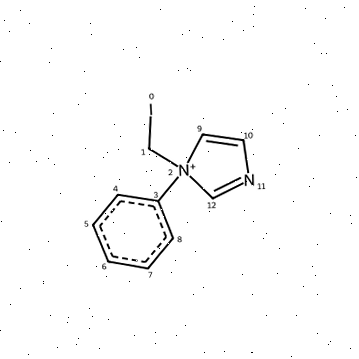 IC[N+]1(c2ccccc2)C=CN=C1